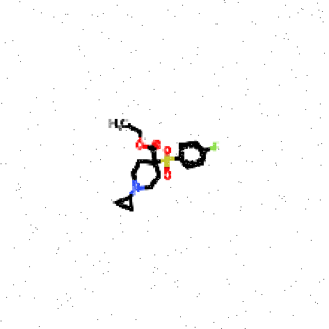 CCOC(=O)C1(S(=O)(=O)c2ccc(F)cc2)CCN(C2CC2)CC1